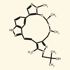 Cc1c2c(nn1CC(C)(C)O)CN(C)C[C@H](C)Oc1c(cnn1C)-c1ccc3[nH]nc(c3c1)/C=C/2